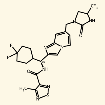 Cc1nsnc1C(=O)N[C@H](c1cn2ccc(CN3CC(C(F)(F)F)NC3=O)cc2n1)C1CCC(F)(F)CC1